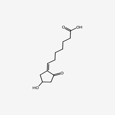 O=C(O)CCCCC/C=C1/CC(O)CC1=O